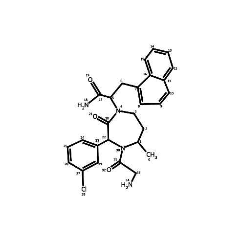 CC1CCN(C(Cc2cccc3ccccc23)C(N)=O)C(=O)C(c2cccc(Cl)c2)N1C(=O)CN